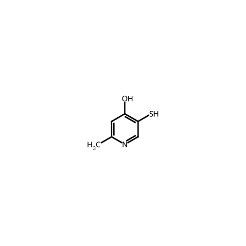 Cc1cc(O)c(S)cn1